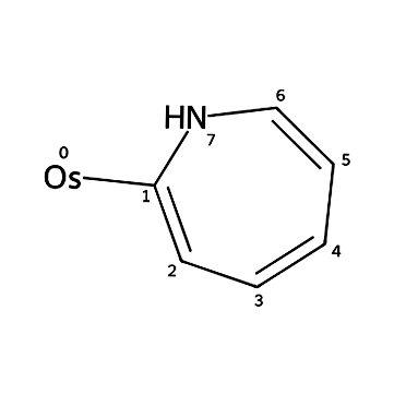 [Os][C]1=CC=CC=CN1